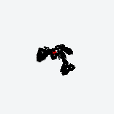 c1ccc(-c2nc(-c3ccc4ccc5ccccc5c4c3)nc(-c3cccc4oc5ccc(-c6ccc7c(c6)sc6ccccc67)cc5c34)n2)cc1